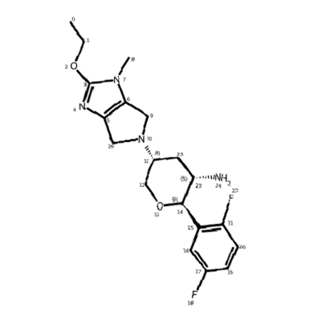 CCOc1nc2c(n1C)CN([C@H]1CO[C@H](c3cc(F)ccc3F)[C@@H](N)C1)C2